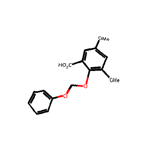 COc1cc(OC)c(OCOc2ccccc2)c(C(=O)O)c1